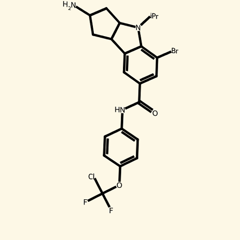 CC(C)N1c2c(Br)cc(C(=O)Nc3ccc(OC(F)(F)Cl)cc3)cc2C2CC(N)CC21